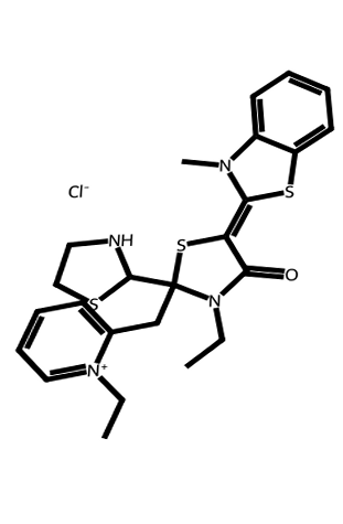 CCN1C(=O)C(=C2Sc3ccccc3N2C)SC1(Cc1cccc[n+]1CC)C1NCCS1.[Cl-]